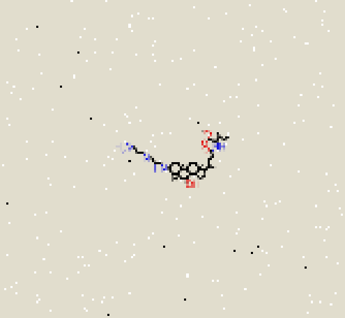 CCC(C)[C@H](NC(=O)CC[C@@H](C)[C@H]1CCC2C3C(CC[C@@]21C)[C@@]1(C)CC[C@H](NCCCNCCCN)C[C@H]1C[C@H]3O)C(=O)OC